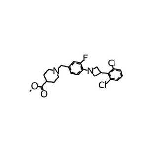 COC(=O)C1CCN(Cc2ccc(N3CC(c4c(Cl)cccc4Cl)C3)c(F)c2)CC1